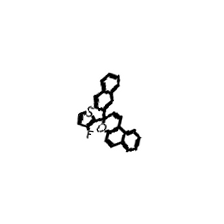 Fc1ccsc1C1(c2ccc3ccccc3c2)C=Cc2c(ccc3ccccc23)O1